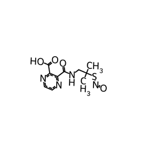 CC(C)(CNC(=O)c1nccnc1C(=O)O)SN=O